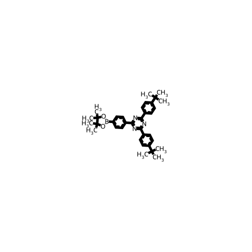 CC(C)(C)c1ccc(-c2nc(-c3ccc(B4OC(C)(C)C(C)(C)O4)cc3)nc(-c3ccc(C(C)(C)C)cc3)n2)cc1